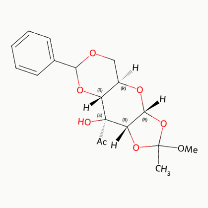 COC1(C)O[C@H]2O[C@@H]3COC(c4ccccc4)O[C@H]3[C@@](O)(C(C)=O)[C@H]2O1